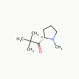 CN1CCC[C@H]1C(=O)C(C)(C)C